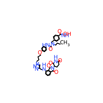 CCCCN(Cc1ccc(C(=O)NO)cc1)C(=O)Nc1ccc(OCCCCn2cc(CNc3cccc4c3C(=O)N(C3CCC(=O)NC3=O)C4=O)nn2)cc1